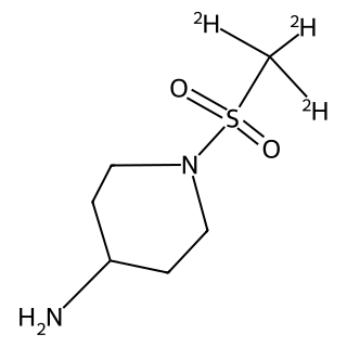 [2H]C([2H])([2H])S(=O)(=O)N1CCC(N)CC1